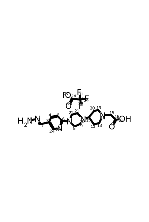 NN=Cc1ccc(N2CCN(C3CCN(CC(=O)O)CC3)CC2)nc1.O=C(O)C(F)(F)F